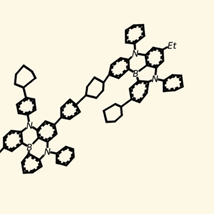 CCc1cc2c3c(c1)N(c1ccccc1)c1ccc(C4CCC(c5ccc(-c6cc7c8c(c6)N(c6ccc(C9CCCCC9)cc6)c6ccc(C9CCCCC9)cc6B8c6ccccc6N7c6ccccc6)cc5)CC4)cc1B3c1cc(C3CCCCC3)ccc1N2c1ccccc1